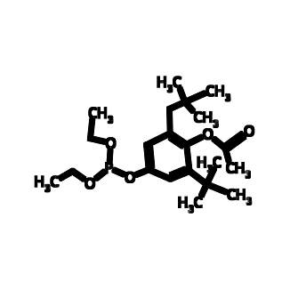 CCOP(OCC)Oc1cc(CC(C)(C)C)c(OC(C)=O)c(C(C)(C)C)c1